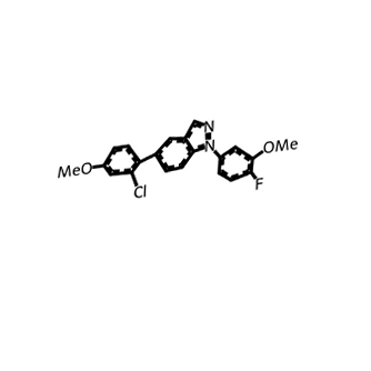 COc1ccc(-c2ccc3c(cnn3-c3ccc(F)c(OC)c3)c2)c(Cl)c1